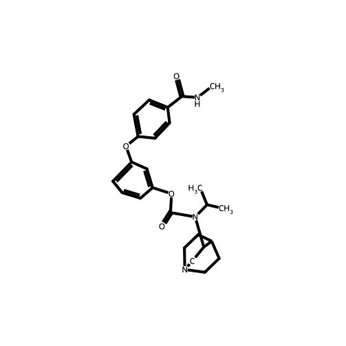 CNC(=O)c1ccc(Oc2cccc(OC(=O)N(C(C)C)C3CN4CCC3CC4)c2)cc1